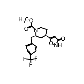 COC(=O)N1CC[C@@H](c2cc(=O)[nH]o2)C[C@H]1Cc1ccc(C(F)(F)F)cc1